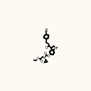 CCOC(=O)CN(C(=O)Oc1ccc2c(c1)c(C(=O)CCc1ccc(C#N)cc1)cn2C)C1CC1